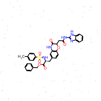 Cc1ccc(S(=O)(=O)N[C@@H](Cc2ccc3c(c2)NC(=O)C(CC(=O)Nc2nc4ccccc4[nH]2)O3)C(=O)OCc2ccccc2)cc1